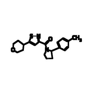 Cc1ccc(C2CCCN2C(=O)c2cc(C3CCOCC3)sn2)cc1